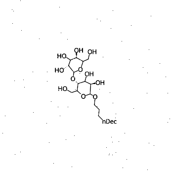 CCCCCCCCCCCCCOC1OC(CO)[C@H](OC2OC(CO)[C@H](O)C(O)[C@H]2O)C(O)[C@H]1O